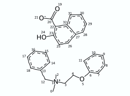 C[N+](C)(CCOc1ccccc1)Cc1ccccc1.O=C([O-])c1c(O)ccc2ccccc12